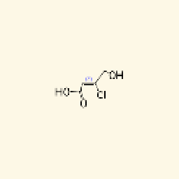 O=C(O)/C=C(\Cl)CO